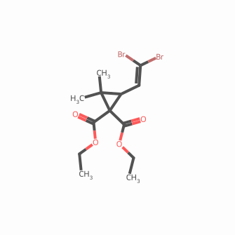 CCOC(=O)C1(C(=O)OCC)C(C=C(Br)Br)C1(C)C